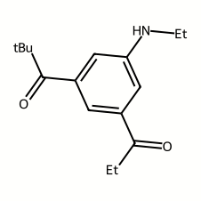 CCNc1cc(C(=O)CC)cc(C(=O)C(C)(C)C)c1